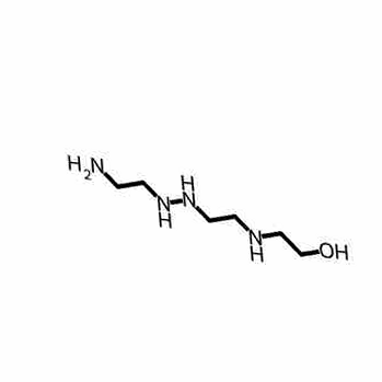 NCCNNCCNCCO